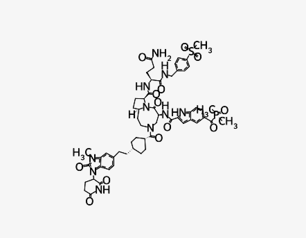 Cn1c(=O)n(C2CCC(=O)NC2=O)c2ccc(CC[C@H]3CC[C@@H](C(=O)N4CC[C@H]5CC[C@@H](C(=O)N[C@@H](CCC(N)=O)C(=O)NCc6ccc(S(C)(=O)=O)cc6)N5C(=O)[C@@H](NC(=O)c5cc6cc(C(=O)P(C)(C)=O)ccc6[nH]5)C4)CC3)cc21